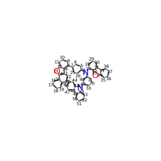 c1cc(N(c2ccc(-c3cccc4oc5c6ccccc6ccc5c34)cc2)c2cccc3c2oc2ccccc23)cc(-n2c3ccccc3c3ccccc32)c1